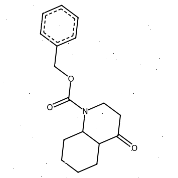 O=C1CCN(C(=O)OCc2ccccc2)C2CCCCC12